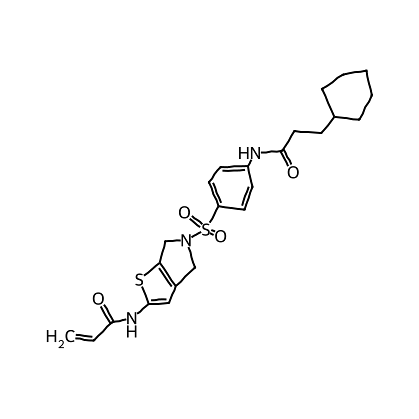 C=CC(=O)Nc1cc2c(s1)CN(S(=O)(=O)c1ccc(NC(=O)CCC3CCCCC3)cc1)C2